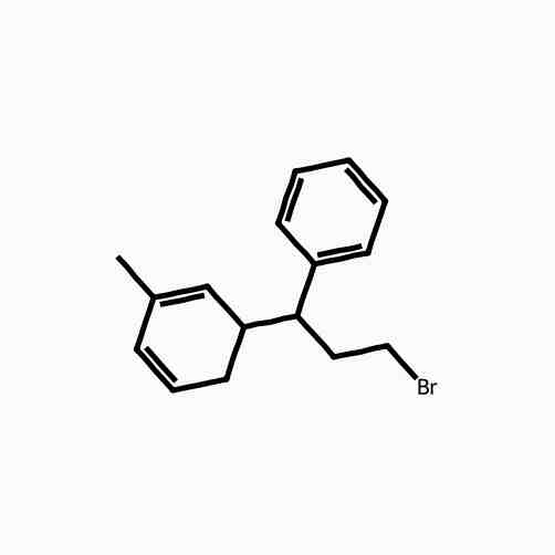 CC1=CC(C(CCBr)c2ccccc2)CC=C1